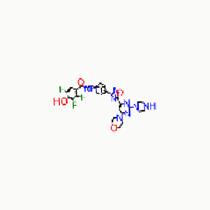 O=C(NCC12CCC(c3noc(-c4cc(N5CCOCC5)nc(N5CCNCC5)n4)n3)(CC1)CC2)c1cc(F)c(O)c(F)c1F